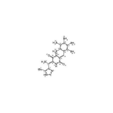 B/C(c1nc[nH]c1C(C)(C)C)=c1/[nH]c(=O)/c(=C/c2c(B)c(B)c(B)c(B)c2B)[nH]c1=O